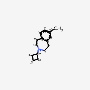 Cc1ccc2c(c1)CCN(C1CCC1)CC2